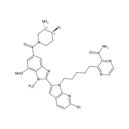 CCc1ccc2cc(-c3nc4cc(C(=O)N5CC[C@H](CC)[C@@H](N)C5)cc(OC)c4n3C)n(CCCCCc3nccnc3C(N)=O)c2n1